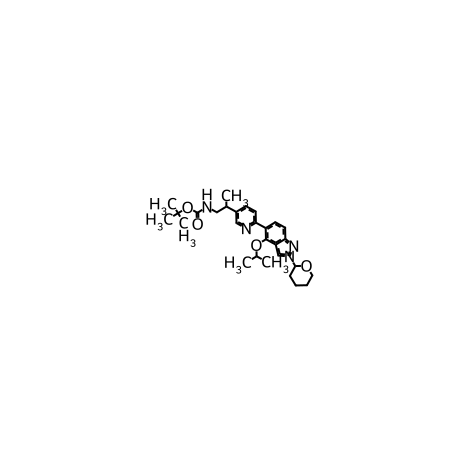 CC(C)Oc1c(-c2ccc(C(C)CNC(=O)OC(C)(C)C)cn2)ccc2nn(C3CCCCO3)cc12